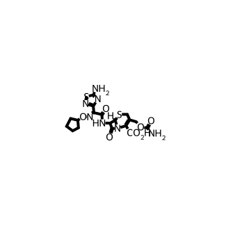 NC(=O)OCC1=C(C(=O)O)N2C(=O)C(NC(=O)C(=NOC3CCCC3)c3nsc(N)n3)[C@@H]2SC1